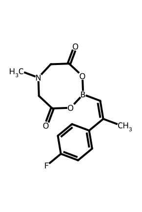 CC(=CB1OC(=O)CN(C)CC(=O)O1)c1ccc(F)cc1